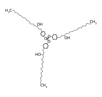 CCCCCCCCCCCCCC(O)CCc1ccc(OP(Oc2ccc(CCC(O)CCCCCCCCCCCCC)cc2)Oc2ccc(CCC(O)CCCCCCCCCCCCC)cc2)cc1